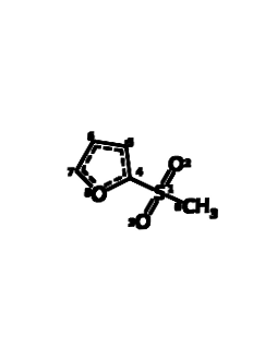 CS(=O)(=O)c1[c]cco1